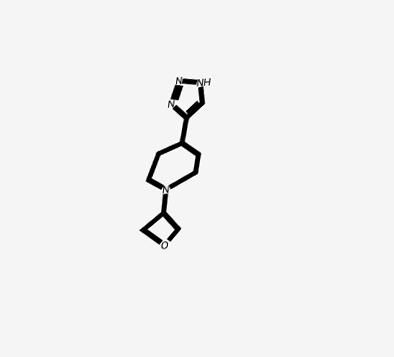 c1[nH]nnc1C1CCN(C2COC2)CC1